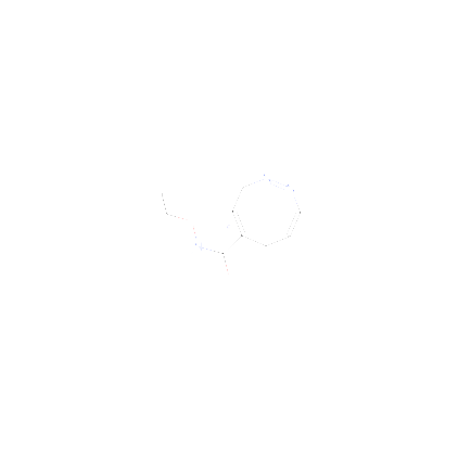 CCON(C)C(O)/C1=C/C/N=N\C=CC1